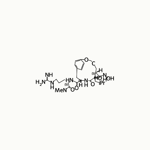 CNC(=O)[C@H](CCCNC(=N)N)NC(=O)[C@@H]1Cc2ccc(cc2)OCCC[C@H](C(=O)NO)[C@@H](CC(C)C)C(=O)N1